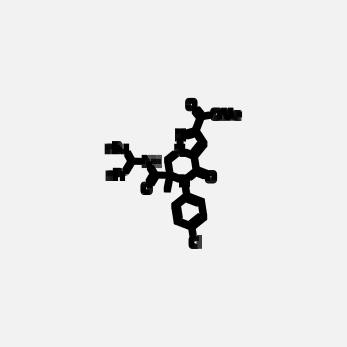 CCCCC(CCC)NC(=O)C1(C)Cn2nc(C(=O)OC)cc2C(=O)N1c1ccc(Cl)cc1